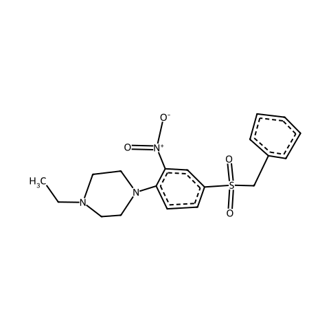 CCN1CCN(c2ccc(S(=O)(=O)Cc3ccccc3)cc2[N+](=O)[O-])CC1